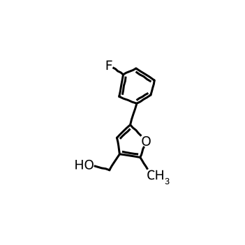 Cc1oc(-c2cccc(F)c2)cc1CO